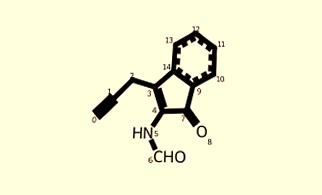 C#CCC1=C(NC=O)C(=O)c2ccccc21